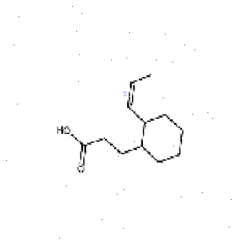 C/C=C\C1CCCCC1CCC(=O)O